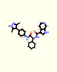 Cc1n[nH]c(C)c1-c1ccc(NC(=O)[C@@H](NC(=O)c2c[nH]c3cnccc23)C2CCCCC2)cc1